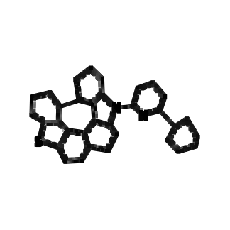 c1ccc(-c2cccc(-n3c4cccc5c4c4c6c(ccc7sc8cccc-5c8c76)ccc43)n2)cc1